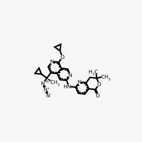 CC1(C)Cc2nc(Nc3cc4c([C@](C)(N=[N+]=[N-])C5CC5)cnc(OC5CC5)c4cn3)ccc2C(=O)O1